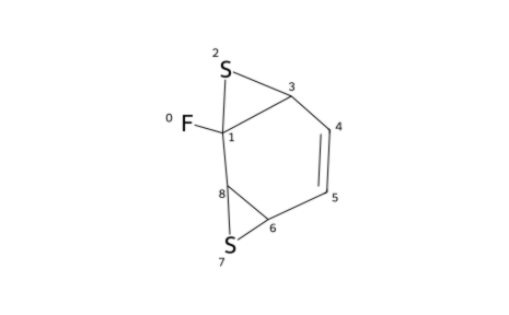 FC12SC1C=CC1SC12